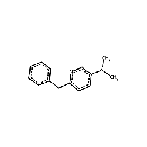 CN(C)c1ccc(Cc2ccccc2)nc1